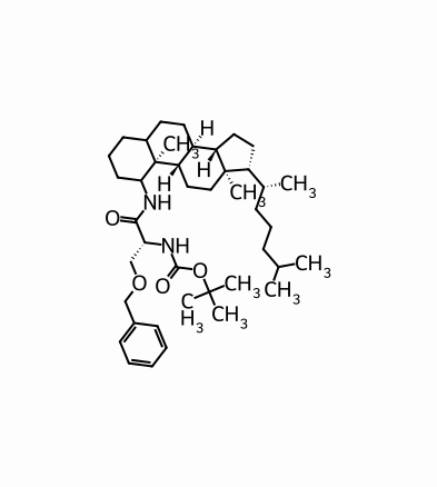 CC(C)CCC[C@@H](C)[C@H]1CC[C@H]2[C@@H]3CCC4CCCC(NC(=O)[C@@H](COCc5ccccc5)NC(=O)OC(C)(C)C)[C@]4(C)[C@H]3CC[C@]12C